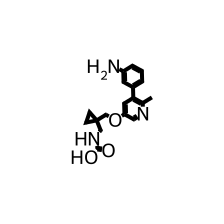 Cc1ncc(OCC2(CNC(=O)O)CC2)cc1-c1cccc(N)c1